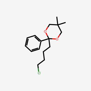 CC1(C)COC(CCCCCl)(c2ccccc2)OC1